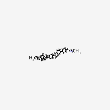 C/C=C/CCC1CCC(C2CCC3CC(C4CCC(COc5ccc(OCC)c(F)c5F)CC4)CCC3C2)CC1